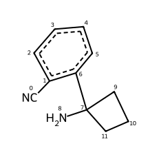 N#Cc1ccccc1C1(N)CCC1